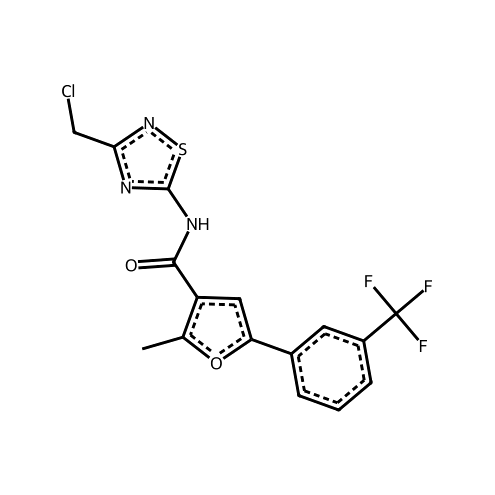 Cc1oc(-c2cccc(C(F)(F)F)c2)cc1C(=O)Nc1nc(CCl)ns1